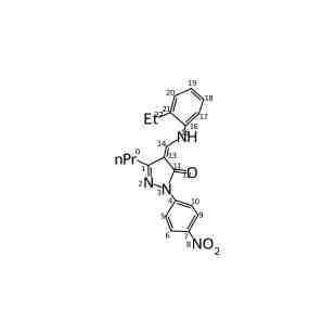 CCCC1=NN(c2ccc([N+](=O)[O-])cc2)C(=O)C1=CNc1ccccc1CC